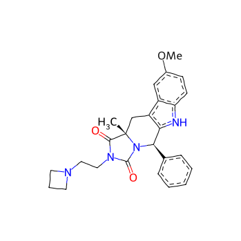 COc1ccc2[nH]c3c(c2c1)C[C@@]1(C)C(=O)N(CCN2CCC2)C(=O)N1[C@@H]3c1ccccc1